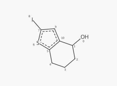 OC1CCCc2sc(I)cc21